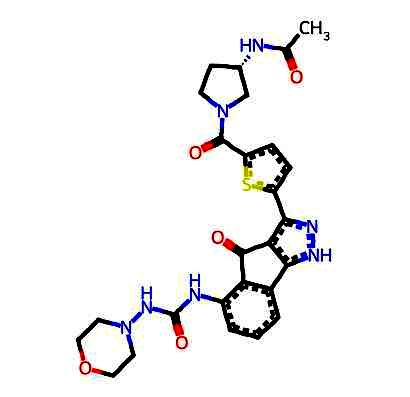 CC(=O)N[C@H]1CCN(C(=O)c2ccc(-c3n[nH]c4c3C(=O)c3c(NC(=O)NN5CCOCC5)cccc3-4)s2)C1